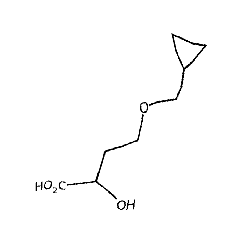 O=C(O)C(O)CCOCC1CC1